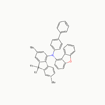 CCC1(CC)c2cc(C(C)(C)C)ccc2-c2c(N(c3ccc(-c4ccccc4)cc3)c3cccc4oc5ccccc5c34)cc(C(C)(C)C)cc21